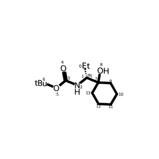 CC[C@@H](NC(=O)OC(C)(C)C)C1(O)CCCCC1